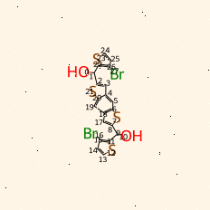 OC(c1cc2cc3sc(C(O)c4sccc4Br)cc3cc2s1)c1sccc1Br